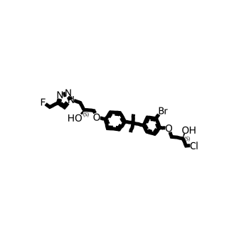 CC(C)(c1ccc(OC[C@@H](O)Cn2cc(CF)nn2)cc1)c1ccc(OC[C@H](O)CCl)c(Br)c1